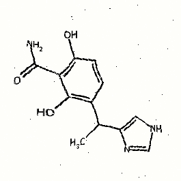 CC(c1c[nH]cn1)c1ccc(O)c(C(N)=O)c1O